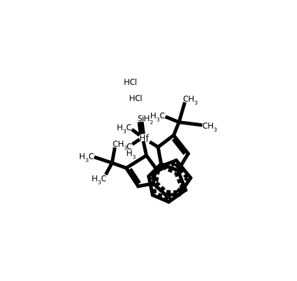 CC(C)(C)C1=Cc2ccccc2[CH]1[Hf]([CH3])([CH3])(=[SiH2])[CH]1C(C(C)(C)C)=Cc2ccccc21.Cl.Cl